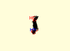 CCC(CC)(c1ccc(OC[C@@H](O)C(C)(C)C)c(C)c1)c1ccc(C(=O)NCC(=O)OC)c(C)c1